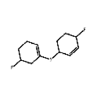 FC1C=CC(SC2=CCCC(F)C2)CC1